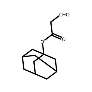 O=CCC(=O)OC12CC3CC(CC(C3)C1)C2